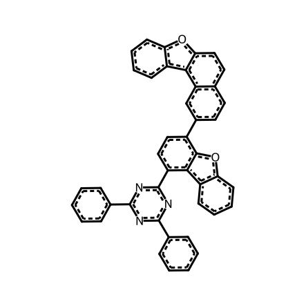 c1ccc(-c2nc(-c3ccccc3)nc(-c3ccc(-c4ccc5ccc6oc7ccccc7c6c5c4)c4oc5ccccc5c34)n2)cc1